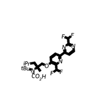 CC(C)CC(C)(COc1ccc(-c2ccnc(C(F)F)n2)nc1C(F)F)N(C(=O)O)C(C)(C)C